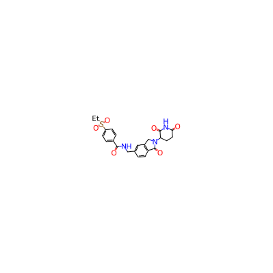 CCS(=O)(=O)c1ccc(C(=O)NCc2ccc3c(c2)CN(C2CCC(=O)NC2=O)C3=O)cc1